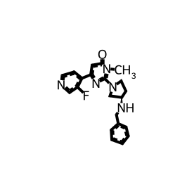 Cn1c(N2CC[C@@H](NCc3ccccc3)C2)nc(-c2ccncc2F)cc1=O